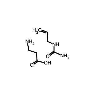 C=CCNC(N)=O.NCCC(=O)O